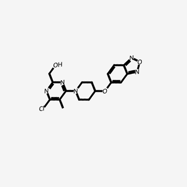 Cc1c(Cl)nc(CO)nc1N1CCC(Oc2ccc3nonc3c2)CC1